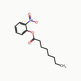 CCCCCCCC(=O)Oc1ccccc1[N+](=O)[O-]